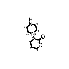 O=C1OCCCC1N1CCNCC1